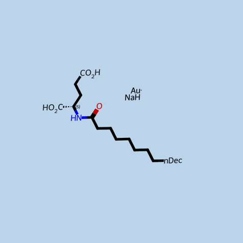 CCCCCCCCCCCCCCCCCC(=O)N[C@@H](CCC(=O)O)C(=O)O.[Au].[NaH]